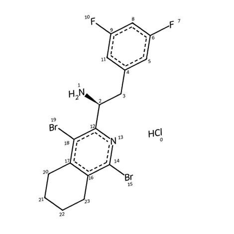 Cl.N[C@@H](Cc1cc(F)cc(F)c1)c1nc(Br)c2c(c1Br)CCCC2